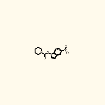 O=C(On1ccc2cc([N+](=O)[O-])ccc21)N1CCCCC1